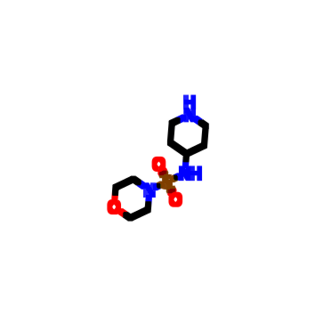 O=S(=O)(NC1CCNCC1)N1CCOCC1